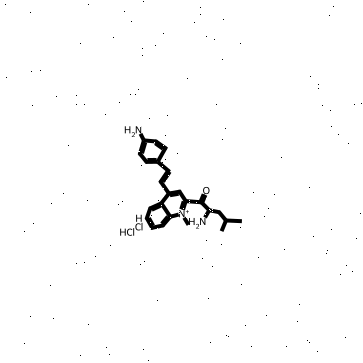 CC(C)CC(N)C(=O)c1cc(C=Cc2ccc(N)cc2)c2ccccc2[n+]1C.Cl.Cl